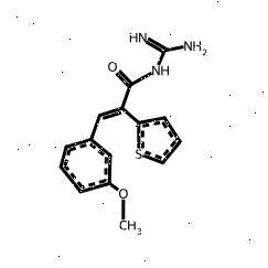 COc1cccc(/C=C(/C(=O)NC(=N)N)c2cccs2)c1